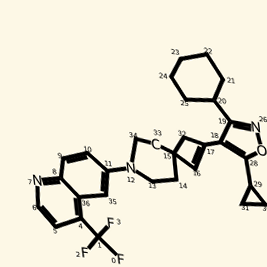 FC(F)(F)c1ccnc2ccc(N3CCC4(C=C(c5c(C6CCCCC6)noc5C5CC5)C4)CC3)cc12